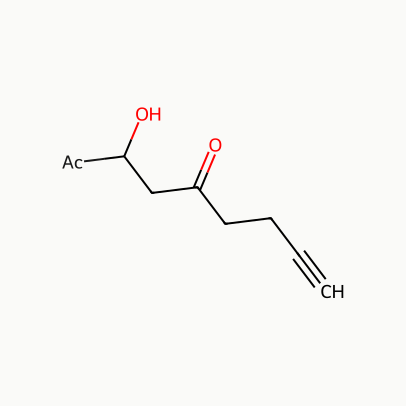 C#CCCC(=O)CC(O)C(C)=O